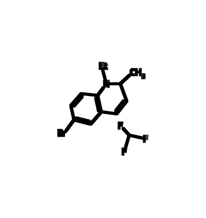 CCN1c2ccc(Br)cc2C=CC1C.FC(F)F